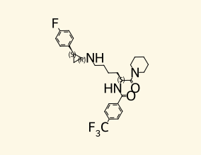 O=C(N[C@@H](CCCCN[C@@H]1C[C@H]1c1ccc(F)cc1)C(=O)N1CCCCC1)c1ccc(C(F)(F)F)cc1